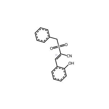 N#C/C(=C\c1ccccc1O)S(=O)(=O)Cc1ccccc1